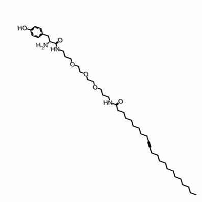 CCCCCCCCCCCCC#CCCCCCCCCC(=O)NCCCOCCOCCOCCCNC(=O)[C@@H](N)Cc1ccc(O)cc1